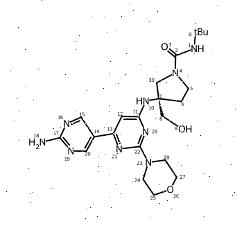 CC(C)(C)NC(=O)N1CC[C@](CO)(Nc2cc(-c3cnc(N)nc3)nc(N3CCOCC3)n2)C1